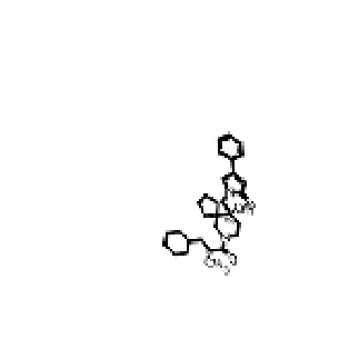 C[C@H](CC1CCCCC1)C(=O)N1CC[C@@](O)(CN2CC(c3ccccc3)=CC2=O)C2(CCCC2)C1